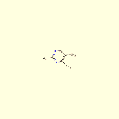 CC(=O)c1ncc(C)c(C)n1